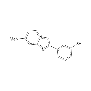 CNc1ccn2cc(-c3cccc(S)c3)nc2c1